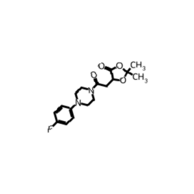 CC1(C)OC(=O)C(CC(=O)N2CCN(c3ccc(F)cc3)CC2)O1